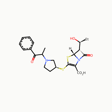 CC[C@H](O)[C@@H]1C(=O)N2C(C(=O)O)=C(S[C@H]3CCN(C(C)C(=O)c4ccccc4)C3)S[C@H]12